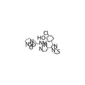 CN1CCCN(CCNc2nccc(-c3c(-c4ccc(Cl)c(O)c4)nc4sccn34)n2)S1(=O)=O